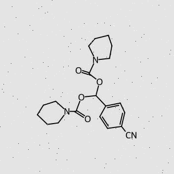 N#Cc1ccc(C(OC(=O)N2CCCCC2)OC(=O)N2CCCCC2)cc1